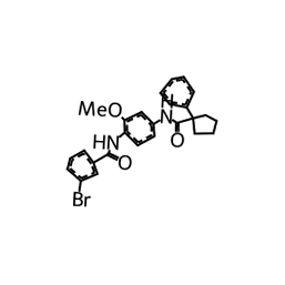 COc1cc(NC(=O)C2(c3ccccc3)CCCC2)ccc1NC(=O)c1cccc(Br)c1